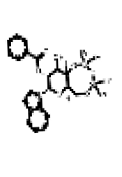 CC(C)[Si]1(C(C)C)OC[C@H]2O[C@@H](n3ccc4ccccc43)[C@H](OC(=O)c3ccccc3)[C@@H](O)[C@@H]2O[Si](C(C)C)(C(C)C)O1